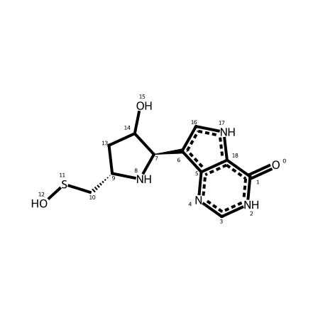 O=c1[nH]cnc2c([C@H]3N[C@H](CSO)CC3O)c[nH]c12